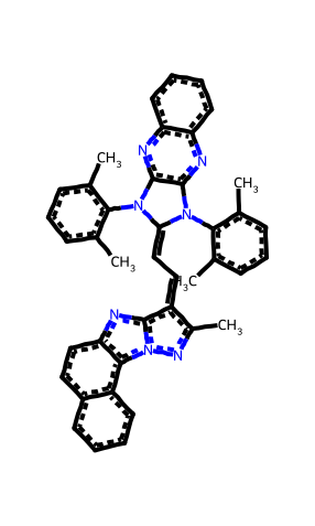 Cc1cccc(C)c1N1C(=C/C=c2/c(C)nn3c2nc2ccc4ccccc4c23)N(c2c(C)cccc2C)c2nc3ccccc3nc21